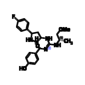 COC[C@H](C)N/C(=N/C(=O)c1ccc(O)cc1)NC1CC(c2ccc(F)cc2)NN1